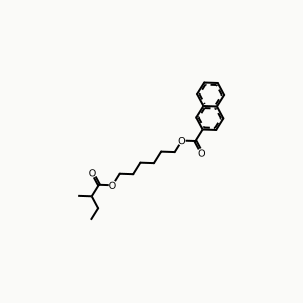 CCC(C)C(=O)OCCCCCCOC(=O)c1ccc2ccccc2c1